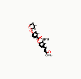 COC(=O)C=Cc1ccc(OC(=O)c2ccc(OC3CCCCO3)cc2)c(OC)c1